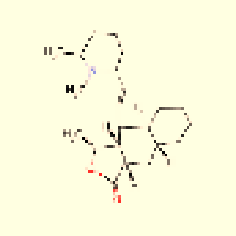 C[C@@H]1OC(=O)[C@H]2C[C@H]3CCCC[C@@H]3[C@@H](C=C[C@H]3CCC[C@H](C)N3C)[C@@H]12